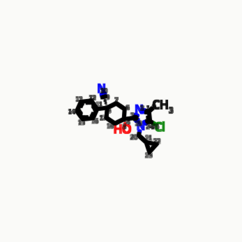 Cc1nc([C@]2(O)CC[C@](C#N)(c3ccccc3)CC2)n(CC2CC2)c1Cl